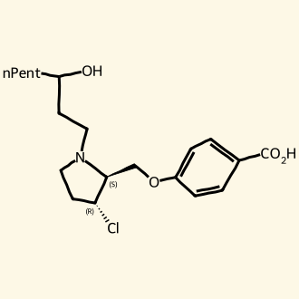 CCCCCC(O)CCN1CC[C@@H](Cl)[C@@H]1COc1ccc(C(=O)O)cc1